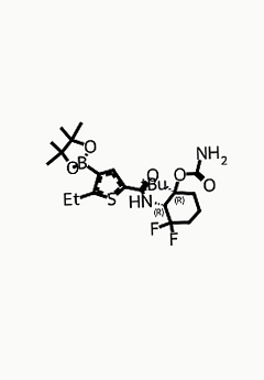 CCc1sc(C(=O)N[C@H]2C(F)(F)CCC[C@@]2(OC(N)=O)C(C)(C)C)cc1B1OC(C)(C)C(C)(C)O1